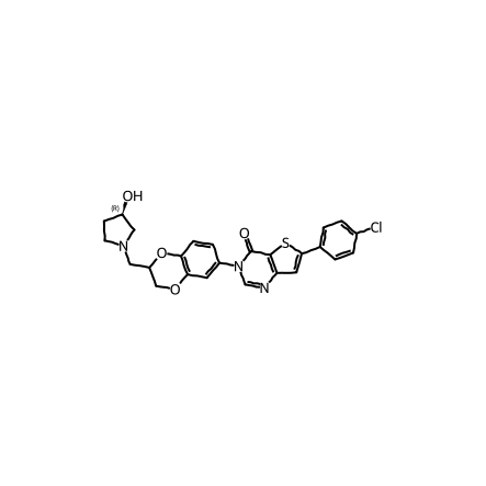 O=c1c2sc(-c3ccc(Cl)cc3)cc2ncn1-c1ccc2c(c1)OCC(CN1CC[C@@H](O)C1)O2